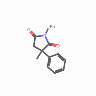 CC1(c2ccccc2)CC(=O)N(C(C)(C)C)C1=O